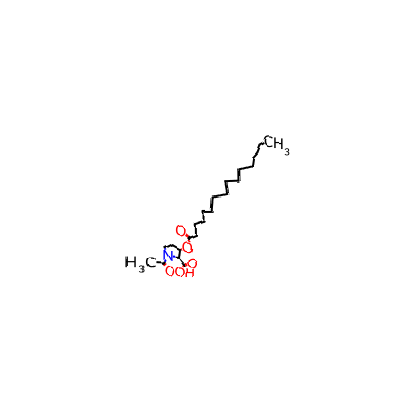 CCCCCCCCCCCCCCCC(=O)OC1CCN(C(C)=O)[C@@H]1C(=O)O